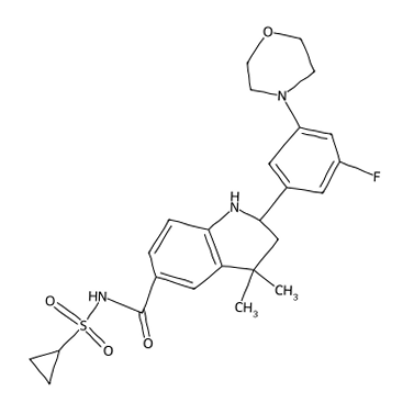 CC1(C)CC(c2cc(F)cc(N3CCOCC3)c2)Nc2ccc(C(=O)NS(=O)(=O)C3CC3)cc21